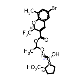 Cc1cc(Br)cc2c1O[C@H](C(F)(F)F)C(C(=O)OC(C)O/N=[N+](\O)N1CCC[C@H]1C(=O)O)=C2